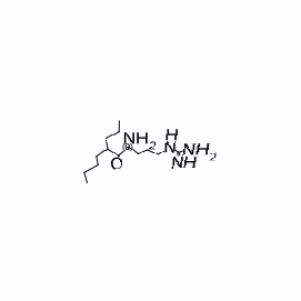 CCCCC(CCC)C(=O)[C@H](N)CCCNC(=N)N